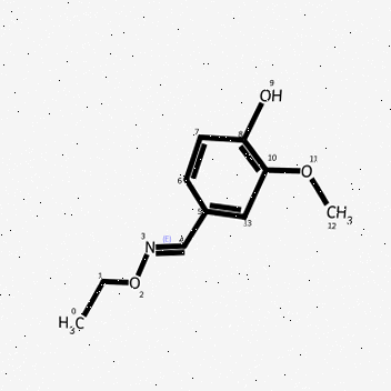 CCO/N=C/c1ccc(O)c(OC)c1